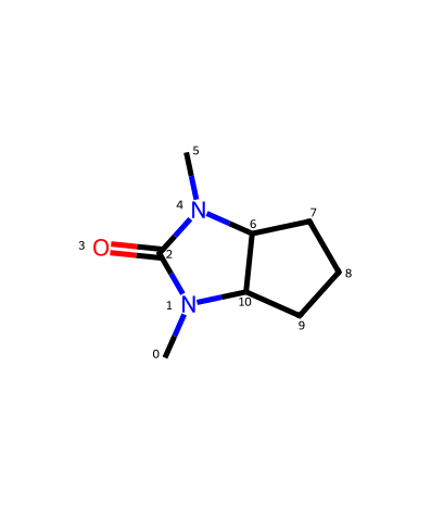 CN1C(=O)N(C)C2CCCC21